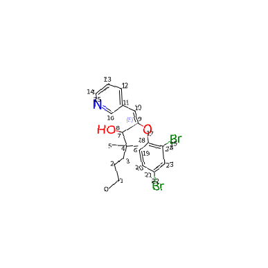 CCCCC(C)(C)C(O)/C(=C\c1cccnc1)Oc1ccc(Br)cc1Br